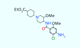 CCOC(=O)[C@H]1CC[C@H](N2CCC(NC(=O)c3cc(Cl)c(N)cc3OC)C(OC)C2)CC1